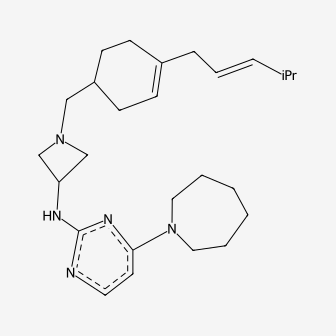 CC(C)/C=C/CC1=CCC(CN2CC(Nc3nccc(N4CCCCCC4)n3)C2)CC1